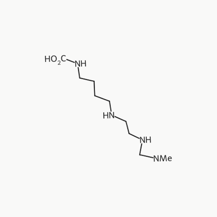 CNCNCCNCCCCNC(=O)O